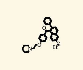 CCOc1ccc2c(C(=O)c3ccc(OCCN4CCCCC4)cc3)c(-c3ccccc3)ccc2c1